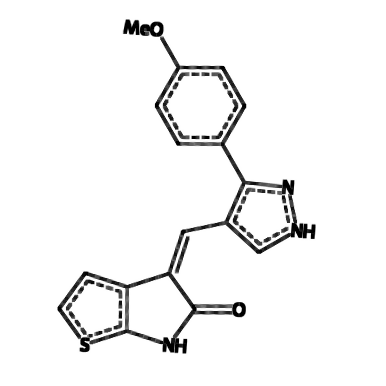 COc1ccc(-c2n[nH]cc2/C=C2\C(=O)Nc3sccc32)cc1